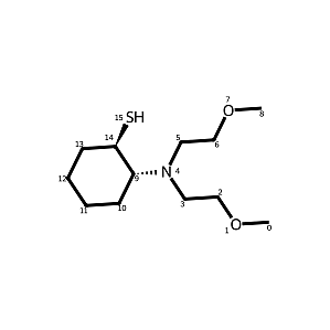 COCCN(CCOC)[C@@H]1CCCC[C@H]1S